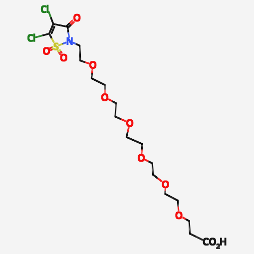 O=C(O)CCOCCOCCOCCOCCOCCOCCN1C(=O)C(Cl)=C(Cl)S1(=O)=O